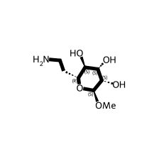 CO[C@H]1O[C@H](CCN)[C@@H](O)[C@H](O)[C@@H]1O